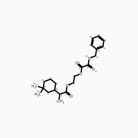 CC(C(=O)OCCOC(=O)C(=O)OCc1ccccc1)C1CCCC(C)(C)C1